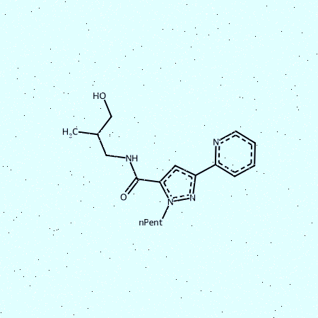 CCCCCn1nc(-c2ccccn2)cc1C(=O)NCC(C)CO